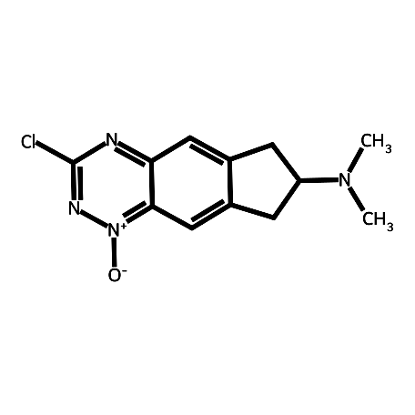 CN(C)C1Cc2cc3nc(Cl)n[n+]([O-])c3cc2C1